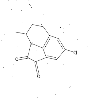 CC1CCc2cc(Cl)cc3c2N1C(=O)C3=O